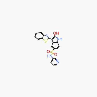 O=S(=O)(Nc1cccnc1)c1ccc2[nH]c(O)c(-c3nc4ccccc4s3)c2c1